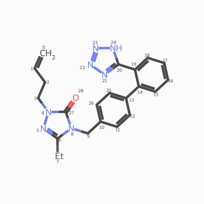 C=CCCn1nc(CC)n(Cc2ccc(-c3ccccc3-c3nnn[nH]3)cc2)c1=O